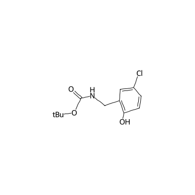 CC(C)(C)OC(=O)NCc1cc(Cl)ccc1O